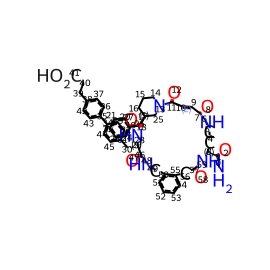 NC(=O)[C@@H]1CCNC(=O)/C=C/C(=O)N2CCC[C@](Cc3ccccc3)(C2)C(=O)N[C@@H](Cc2ccc(-c3ccc(CCC(=O)O)cc3)cc2)C(=O)NCc2ccccc2CC(=O)N1